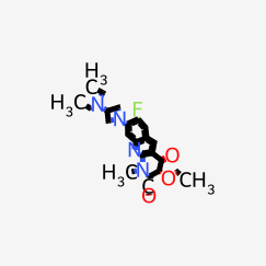 CCOC1C(=O)c2cc3cc(F)c(N4CC(N(CC)CC)C4)cc3nc2N(C)C1=C=O